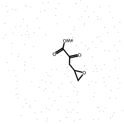 COC(=O)C(=O)CC1CO1